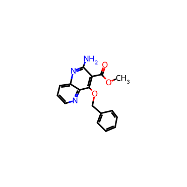 COC(=O)c1c(N)nc2cccnc2c1OCc1ccccc1